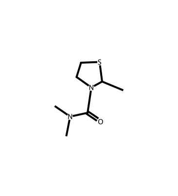 CC1SCCN1C(=O)N(C)C